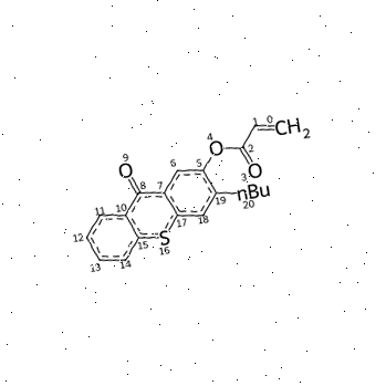 C=CC(=O)Oc1cc2c(=O)c3ccccc3sc2cc1CCCC